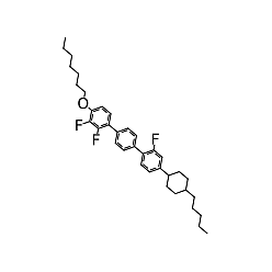 CCCCCCCOc1ccc(-c2ccc(-c3ccc(C4CCC(CCCCC)CC4)cc3F)cc2)c(F)c1F